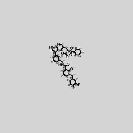 CC(C)(C)OC(=O)N(Cc1cnc2[nH]cc(-c3cccc(CNC(=O)c4cccn(Cc5ccc(F)c(F)c5)c4=O)c3)c2c1)S(=O)(=O)c1ccccc1